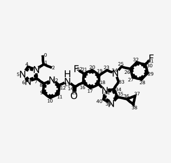 CC(C)n1cnnc1-c1cccc(NC(=O)c2cc3c(cc2F)CN(Cc2cccc(F)c2)Cc2c(C4CC4)ncn2-3)n1